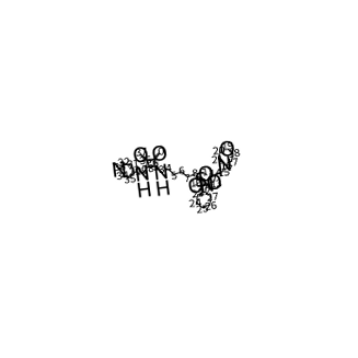 O=c1c(NCCCCCS(=O)(=O)N(OCCN2CCOCC2)C2CCCCC2)c(Nc2ccncc2)c1=O